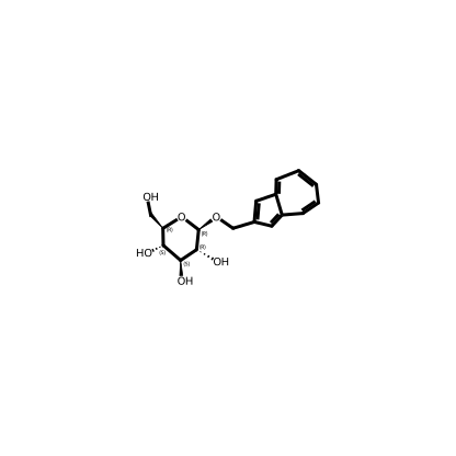 OC[C@H]1O[C@@H](OCc2cc3cccccc-3c2)[C@H](O)[C@@H](O)[C@@H]1O